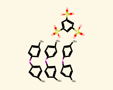 CC(C)(C)c1ccc([I+]c2ccc(C(C)(C)C)cc2)cc1.CC(C)(C)c1ccc([I+]c2ccc(C(C)(C)C)cc2)cc1.CC(C)(C)c1ccc([I+]c2ccc(C(C)(C)C)cc2)cc1.O=S(=O)([O-])c1cc(S(=O)(=O)[O-])cc(S(=O)(=O)[O-])c1